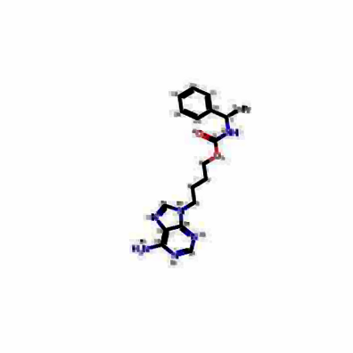 CCC[C@@H](NC(=O)OCCCCn1cnc2c(N)ncnc21)c1ccccc1